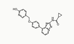 O=C(Nc1nc2c(-c3ccc(OCc4ccc(O)nc4)cc3)cccn2n1)C1CC1